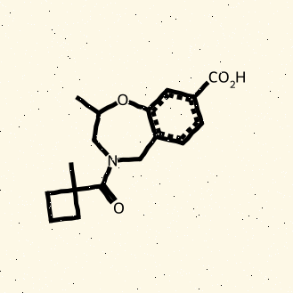 CC1CN(C(=O)C2(C)CCC2)Cc2ccc(C(=O)O)cc2O1